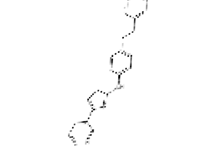 c1ccc(CCc2ccc(Nc3nc(-c4cccnc4)cs3)cc2)cc1